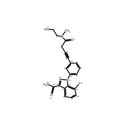 CN(CCO)C(=O)CC#Cc1cccc(-n2nc(C(N)=O)c3cccc(F)c32)c1